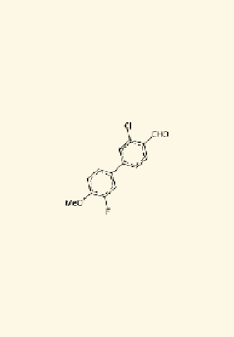 COc1ccc(-c2ccc(C=O)c(Cl)c2)cc1F